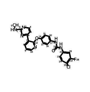 CNc1nccc(-c2cccnc2Oc2ccc(NC(=O)Nc3ccc(Cl)c(F)c3)cc2)n1